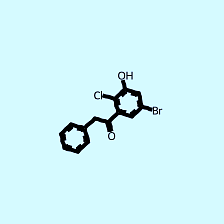 O=C(Cc1ccccc1)c1cc(Br)cc(O)c1Cl